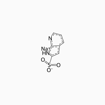 O=S(=O)([O-])c1cc2cccnc2[nH]1.[Na+]